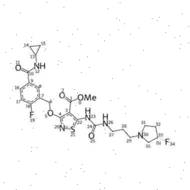 COC(=O)c1c(OCc2cc(C(=O)NC3CC3)ccc2F)nsc1NC(=O)NCCCN1CC[C@H](F)C1